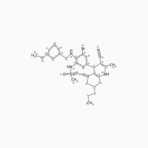 CCCC1CC(=O)C2=C(C1)NC(C)=C(C#N)C2c1cc(Br)c(NCc2cccc(OC)c2)c(NS(C)(=O)=O)c1